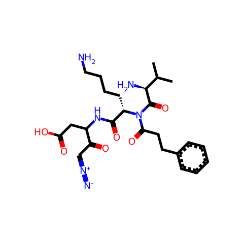 CC(C)[C@H](N)C(=O)N(C(=O)CCc1ccccc1)[C@@H](CCCCN)C(=O)NC(CC(=O)O)C(=O)C=[N+]=[N-]